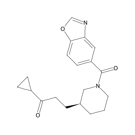 O=C(CC[C@@H]1CCCN(C(=O)c2ccc3ocnc3c2)C1)C1CC1